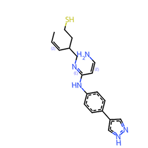 C/C=C\C(CCS)C/N=C(\C=C/N)Nc1ccc(-c2cn[nH]c2)cc1